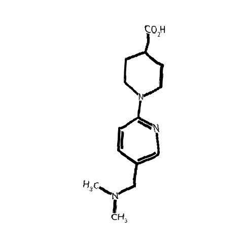 CN(C)Cc1ccc(N2CCC(C(=O)O)CC2)nc1